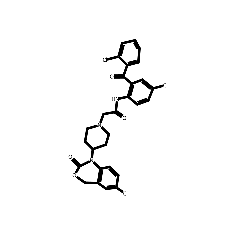 O=C(CN1CCC(N2C(=O)OCc3cc(Cl)ccc32)CC1)Nc1ccc(Cl)cc1C(=O)c1ccccc1Cl